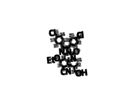 CCOc1cc(C#N)ccc1C1=N[C@@H](c2ccc(Cl)cc2)[C@@H](c2ccc(Cl)cc2)N1C(=O)N1CCC(CO)CC1